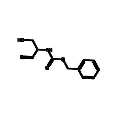 O=[C]C(CO)NC(=O)OCc1ccccc1